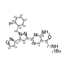 CC(C)(C)NCC(=O)c1cnc(-c2cc(-c3ccon3)n(Cc3ccccc3F)n2)nc1N